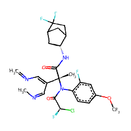 C=N/C=C(\C=N/C)[C@](C)(C(=O)N[C@@H]1CC2CC1CC2(F)F)N(C(=O)[C@H](F)Cl)c1ccc(OC(F)(F)F)cc1F